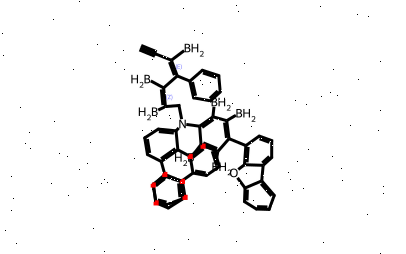 B/C(CN(c1cccc(-c2ccccc2)c1-c1ccccc1-c1ccccc1)c1c(B)c(B)c(-c2cccc3c2oc2ccccc23)c(B)c1B)=C(B)/C(=C(/B)C#C)c1ccccc1